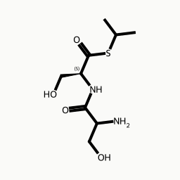 CC(C)SC(=O)[C@H](CO)NC(=O)C(N)CO